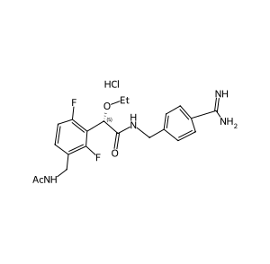 CCO[C@H](C(=O)NCc1ccc(C(=N)N)cc1)c1c(F)ccc(CNC(C)=O)c1F.Cl